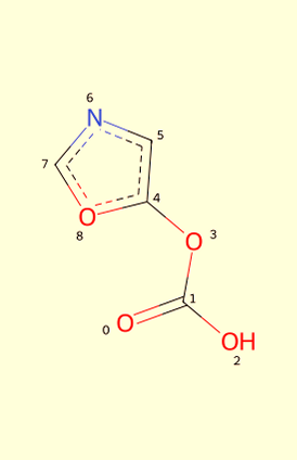 O=C(O)Oc1cnco1